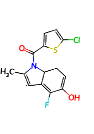 CC1=[C]C2=C(F)C(O)=CCC2N1C(=O)c1ccc(Cl)s1